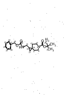 CC(C)(C)OC(=O)N1CCC2(CC1)CC2CNC(=O)OCc1ccccc1